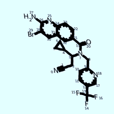 N#CCC(C1CC1)N(Cc1ccc(C(F)(F)F)cn1)C(=O)c1ccc2nc(N)c(Br)cc2c1